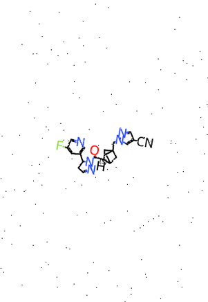 N#Cc1cnn(CC23CC(C2)[C@@H](C(=O)N2N=CCC2c2cncc(F)c2)C3)c1